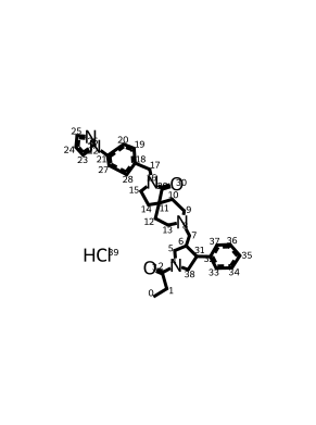 CCC(=O)N1CC(CN2CCC3(CC2)CCN(Cc2ccc(-n4cccn4)cc2)C3=O)C(c2ccccc2)C1.Cl